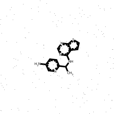 CC(Nc1ncnc2sccc12)c1ccc(N)cn1